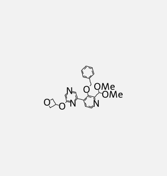 COC(OC)c1nccc(-c2cncc(OC3COC3)n2)c1OCc1ccccc1